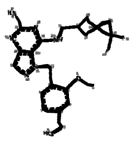 COc1cc(CO)ccc1Cn1ncc2nc(N)nc(NCC3CC4(C3)CC4(F)F)c21